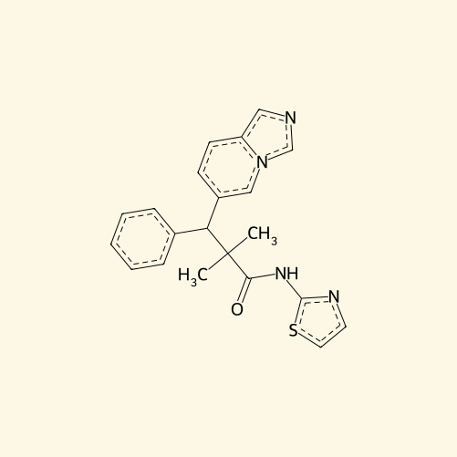 CC(C)(C(=O)Nc1nccs1)C(c1ccccc1)c1ccc2cncn2c1